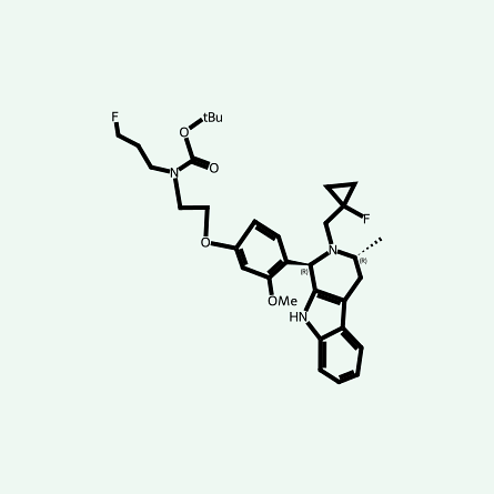 COc1cc(OCCN(CCCF)C(=O)OC(C)(C)C)ccc1[C@@H]1c2[nH]c3ccccc3c2C[C@@H](C)N1CC1(F)CC1